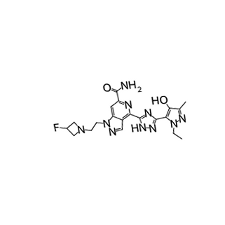 CCn1nc(C)c(O)c1-c1n[nH]c(-c2nc(C(N)=O)cc3c2cnn3CCN2CC(F)C2)n1